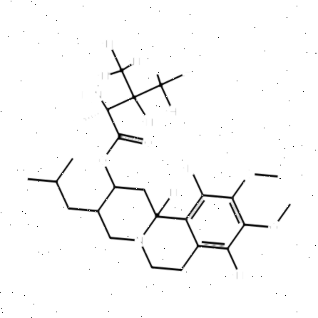 [2H]c1c2c(c([2H])c(OC)c1OC)C1([2H])CC(OC(=O)[C@@]([2H])(N)C([2H])(C([2H])([2H])[2H])C([2H])([2H])[2H])C(CC(C)C)CN1CC2